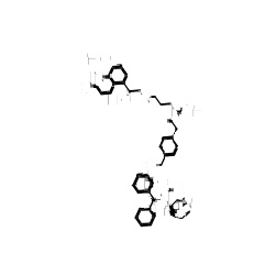 CN(CCCNC[C@H](O)c1ccc(O)c2[nH]c(=O)ccc12)C(=O)Cc1ccc(COc2cccc([C@H](c3ccccc3)N(C(=O)O)[C@H]3CN4CCC3CC4)c2)cc1